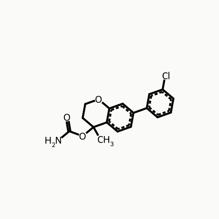 CC1(OC(N)=O)CCOc2cc(-c3cccc(Cl)c3)ccc21